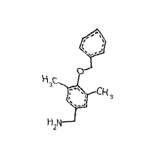 Cc1cc(CN)cc(C)c1OCc1ccccc1